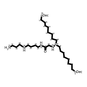 CCCCCCCCCCCCCCCCCCN(CCCCCCCCCCCCCCCCCC)NCC(=O)NCCCCNCCCN